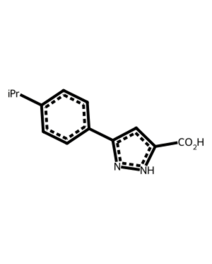 CC(C)c1ccc(-c2cc(C(=O)O)[nH]n2)cc1